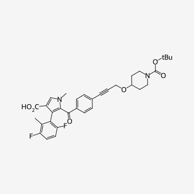 Cc1c(F)ccc(F)c1-c1c(C(=O)O)cn(C)c1C(=O)c1ccc(C#CCOC2CCN(C(=O)OC(C)(C)C)CC2)cc1